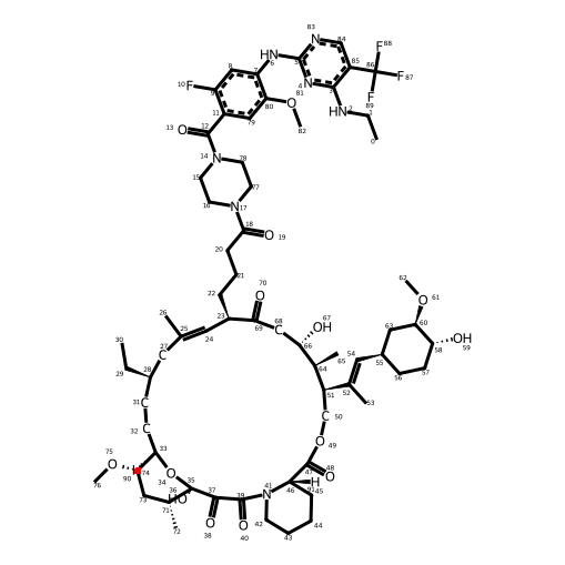 CCNc1nc(Nc2cc(F)c(C(=O)N3CCN(C(=O)CCC[C@@H]4/C=C(\C)C[C@H](CC)CC[C@H]5O[C@@](O)(C(=O)C(=O)N6CCCC[C@H]6C(=O)OC[C@H](/C(C)=C/[C@@H]6CC[C@@H](O)[C@H](OC)C6)[C@H](C)[C@@H](O)CC4=O)[C@H](C)C[C@@H]5OC)CC3)cc2OC)ncc1C(F)(F)F